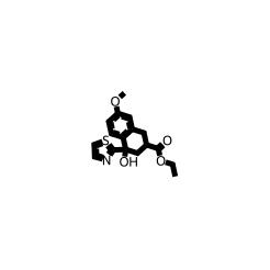 CCOC(=O)C1Cc2cc(OC)ccc2C(O)(c2nccs2)C1